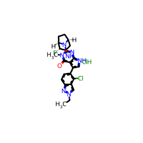 CCn1cc2c(Cl)c(-c3c[nH]c4nc(N5[C@H]6CC[C@@H]5[C@@H](F)[C@@H](N)C6)n(C)c(=O)c34)ccc2n1.Cl